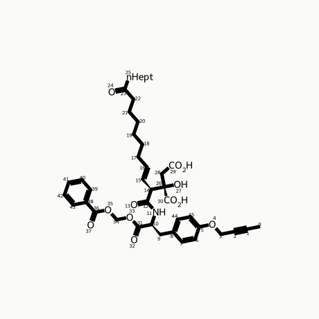 CC#CCOc1ccc(C[C@H](NC(=O)[C@@H](C=CCCCCCCC(=O)CCCCCCC)[C@@](O)(CC(=O)O)C(=O)O)C(=O)OCOC(=O)c2ccccc2)cc1